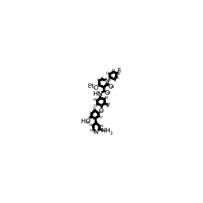 CCOc1ccn(-c2ccc(F)cc2)c(=O)c1C(=O)Nc1ccc(Oc2ccc(O)c(-c3ccnc(N)c3)c2)c(F)c1